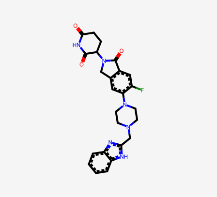 O=C1CCC(N2Cc3cc(N4CCN(Cc5nc6ccccc6[nH]5)CC4)c(F)cc3C2=O)C(=O)N1